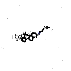 C[C@H]1CCC2C3CCC4C[C@@H](/C=C/CCN)CC[C@]4(C)C3CC[C@@]21C